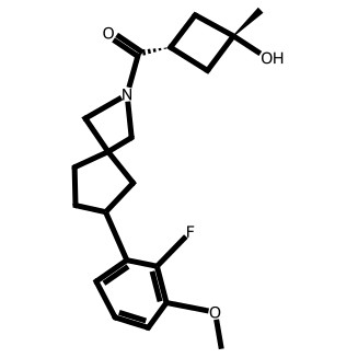 COc1cccc(C2CCC3(C2)CN(C(=O)[C@H]2C[C@@](C)(O)C2)C3)c1F